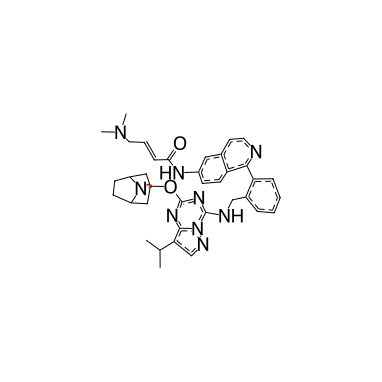 CC(C)c1cnn2c(NCc3ccccc3-c3nccc4cc(NC(=O)/C=C/CN(C)C)ccc34)nc(OC3CC4CCC(C3)N4C)nc12